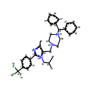 Cc1nc(-c2ccc(C(F)(F)F)cc2)n(CC(C)C)c1CN1CCN(C(c2ccccc2)c2ccccc2)CC1